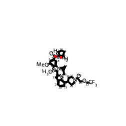 COc1cc(C(=O)N2C[C@H]3CC[C@@H]2[C@@H]3N)cc2nc(-c3cc4cccc(C5CCN(C(=O)COCC(F)(F)F)CC5)c4n3CC3CC3)n(C)c12